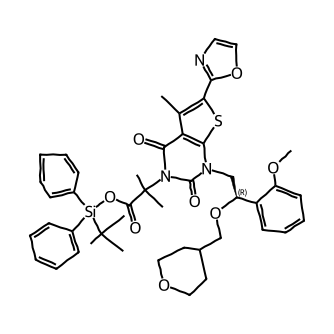 COc1ccccc1[C@H](Cn1c(=O)n(C(C)(C)C(=O)O[Si](c2ccccc2)(c2ccccc2)C(C)(C)C)c(=O)c2c(C)c(-c3ncco3)sc21)OCC1CCOCC1